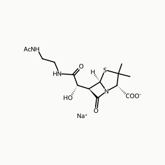 CC(=O)NCCNC(=O)[C@@H](O)[C@@H]1C(=O)N2[C@@H]1SC(C)(C)[C@@H]2C(=O)[O-].[Na+]